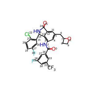 O=C(Nc1cc(CC2CCO2)cc2c1C(c1cc(F)ccc1Cl)NC2=O)c1cc(F)cc(C(F)(F)F)c1